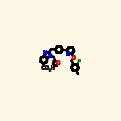 Cc1ccc(COc2cccc(-c3ccc(Cc4nc5ccc(C(=O)O)cc5n4C[C@@H]4CCO4)cc3)n2)c(F)c1